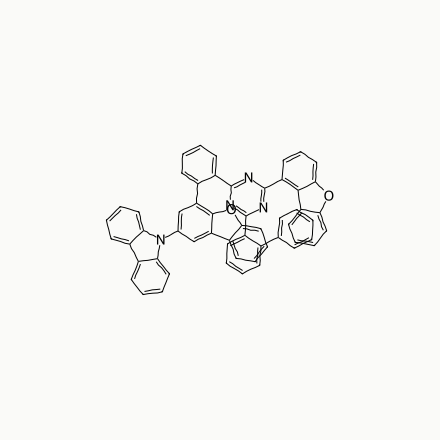 c1ccc(-c2ccccc2-c2nc(-c3ccccc3-c3cc(-n4c5ccccc5c5ccccc54)cc4c3oc3ccccc34)nc(-c3cccc4oc5ccccc5c34)n2)cc1